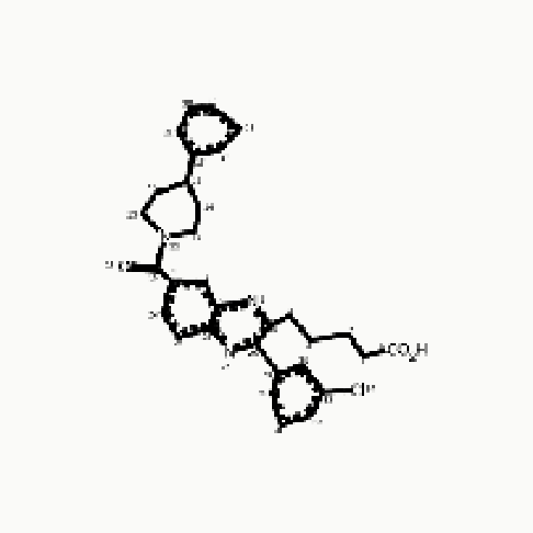 O=C(O)CCCCc1nc2cc(C(=O)N3CCC(c4ccccc4)CC3)ccc2nc1-c1cccc(Cl)c1